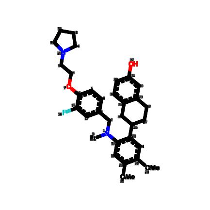 CCN(Cc1ccc(OCCN2CCCC2)c(F)c1)c1cc(OC)c(OC)cc1C1CCc2cc(O)ccc2C1